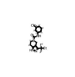 CCC(F)(F)c1n[nH]c2c1CN(C(=O)Nc1cccc(Cl)c1)CC2